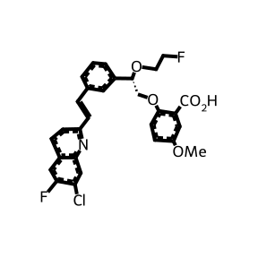 COc1ccc(OC[C@@H](OCCF)c2cccc(/C=C/c3ccc4cc(F)c(Cl)cc4n3)c2)c(C(=O)O)c1